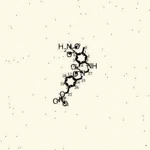 Cc1cc2c(cc1S(N)(=O)=O)S(=O)(=O)N(Cc1cccc(CO[N+](=O)[O-])c1)CN2